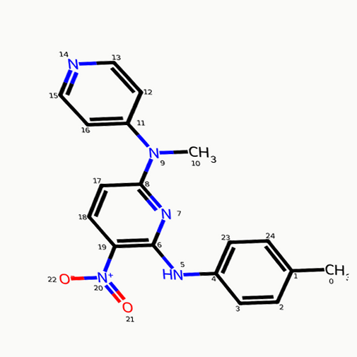 Cc1ccc(Nc2nc(N(C)c3ccncc3)ccc2[N+](=O)[O-])cc1